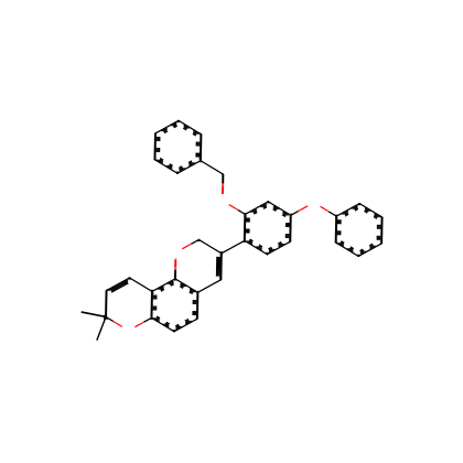 CC1(C)C=Cc2c(ccc3c2OCC(c2ccc(Oc4ccccc4)cc2OCc2ccccc2)=C3)O1